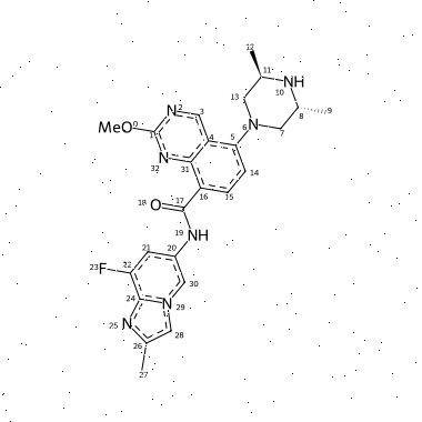 COc1ncc2c(N3C[C@@H](C)N[C@H](C)C3)ccc(C(=O)Nc3cc(F)c4nc(C)cn4c3)c2n1